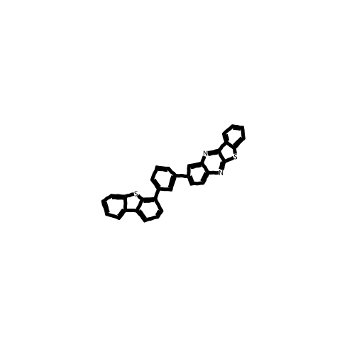 c1cc(-c2ccc3nc4sc5ccccc5c4nc3c2)cc(-c2cccc3c2sc2ccccc23)c1